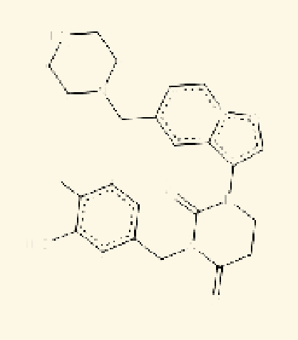 Cc1ccc(CN2C(=O)CCN(c3cnn4ccc(CN5CCNCC5)cc34)C2=O)cc1C